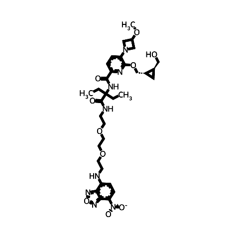 CCC(CC)(NC(=O)c1ccc(N2CC(OC)C2)c(OC[C@H]2C[C@@H]2CO)n1)C(=O)NCCOCCOCCNc1ccc([N+](=O)[O-])c2nonc12